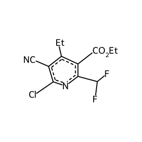 CCOC(=O)c1c(C(F)F)nc(Cl)c(C#N)c1CC